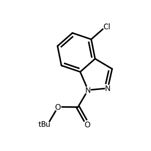 CC(C)(C)OC(=O)n1ncc2c(Cl)cccc21